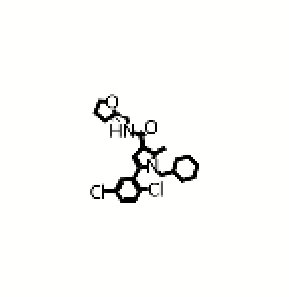 CC1C(C(=O)NC[C@H]2CCCO2)C=C(c2cc(Cl)ccc2Cl)N1CC1CCCCC1